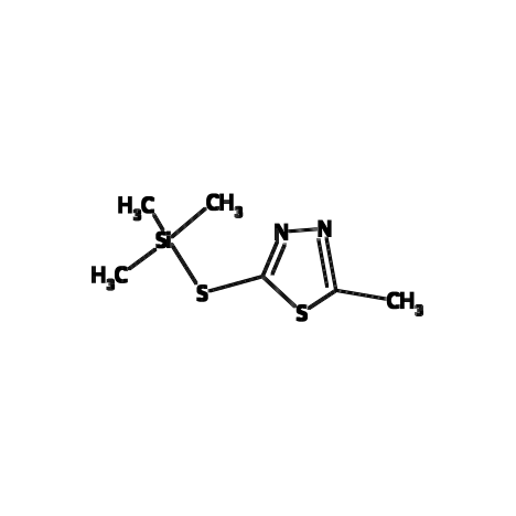 Cc1nnc(S[Si](C)(C)C)s1